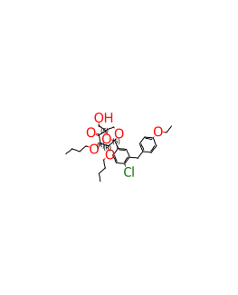 CCCCO[C@@H]1[C@@H](OCCCC)C(=O)[C@]2(CO)CO[C@@]1(c1ccc(Cl)c(Cc3ccc(OCC)cc3)c1)O2